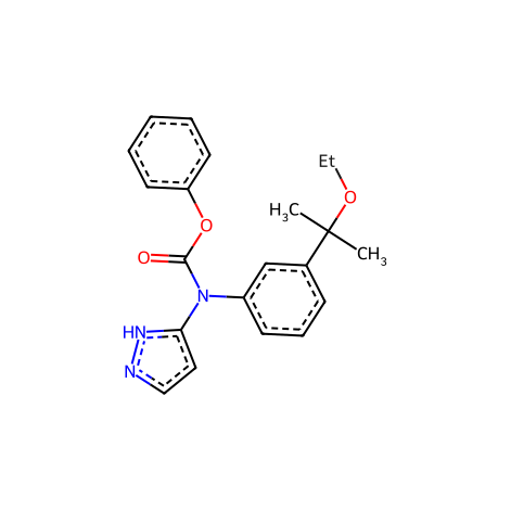 CCOC(C)(C)c1cccc(N(C(=O)Oc2ccccc2)c2ccn[nH]2)c1